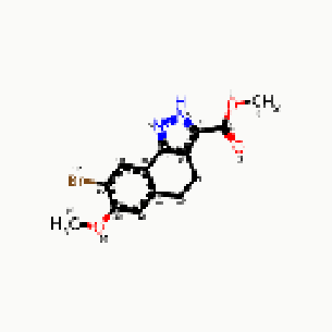 COC(=O)c1[nH]nc2c1CCc1cc(OC)c(Br)cc1-2